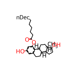 CCCCCCCCCCCCCCCC(=O)Oc1cc(O)cc2c1[C@H]1CC[C@]3(C)[C@H](O)CC[C@H]3[C@@H]1CC2